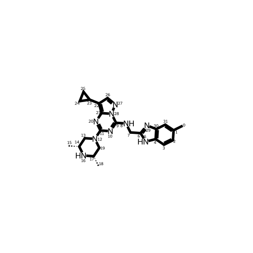 Cc1ccc2[nH]c(CNc3nc(N4C[C@@H](C)N[C@@H](C)C4)nc4c(C5CC5)cnn34)nc2c1